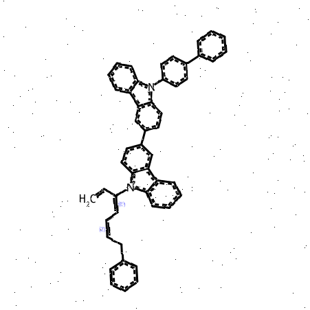 C=C/C(=C\C=C/Cc1ccccc1)n1c2ccccc2c2cc(-c3ccc4c(c3)c3ccccc3n4-c3ccc(-c4ccccc4)cc3)ccc21